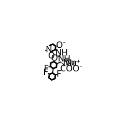 Cn1ccc([O-])c(NC(=O)N[C@@H](CC(=O)[O-])c2ccc(F)c(-c3c(F)cccc3F)c2)c1=O.[Na+].[Na+]